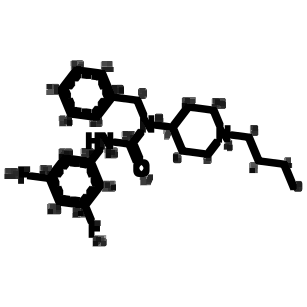 CCCCN1CCC(N(Cc2ccccc2)C(=O)Nc2cc(F)cc(F)c2)CC1